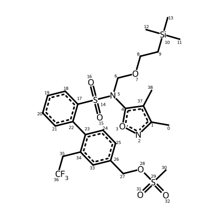 Cc1noc(N(COCC[Si](C)(C)C)S(=O)(=O)c2ccccc2-c2ccc(COS(C)(=O)=O)cc2CC(F)(F)F)c1C